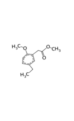 CCc1ccc(OC)c(CC(=O)OC)c1